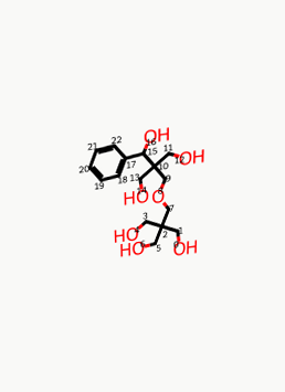 OCC(CO)(CO)COCC(CO)(CO)C(O)c1ccccc1